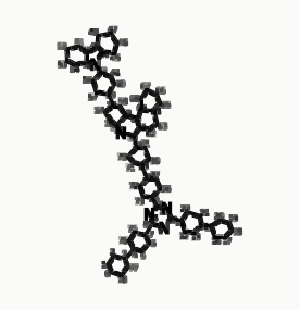 c1ccc(-c2ccc(-c3nc(-c4ccc(-c5ccccc5)cc4)nc(-c4ccc(-c5ccc(-c6nc7ccc(-c8ccc(-n9c%10ccccc%10c%10ccccc%109)cc8)cc7c7c6ccc6ccccc67)cc5)cc4)n3)cc2)cc1